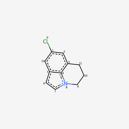 Clc1cc2c3c(ccn3CCC2)c1